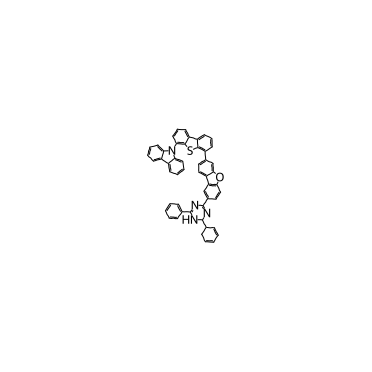 C1=CCC(C2N=C(c3ccc4oc5cc(-c6cccc7c6sc6c(-n8c9ccccc9c9ccccc98)cccc67)ccc5c4c3)N=C(c3ccccc3)N2)C=C1